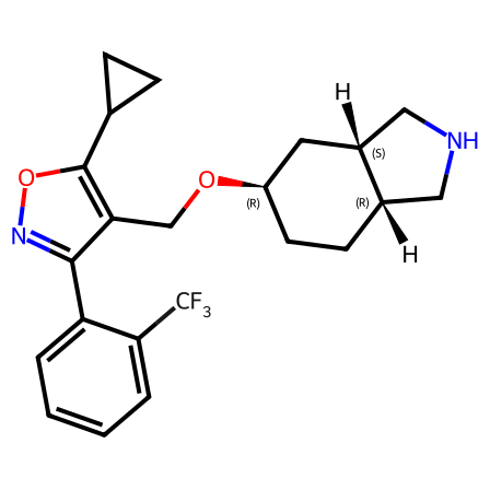 FC(F)(F)c1ccccc1-c1noc(C2CC2)c1CO[C@@H]1CC[C@H]2CNC[C@H]2C1